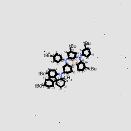 CC(C)(C)c1ccc(N2c3cc(N4c5ccc(C(C)(C)C)cc5C5(c6ccc(C(C)(C)C)cc6)CCCCC45C)ccc3B3c4ccc(C(C)(C)C)cc4N(c4cccc(C(C)(C)C)c4)c4cc(C(C)(C)C)cc2c43)cc1